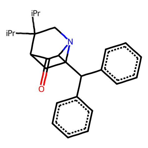 CC(C)C1(C(C)C)CN2CCC1C(=O)C2C(c1ccccc1)c1ccccc1